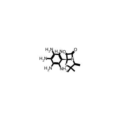 C=C1N2C(=O)C(=O)[C@@]2(c2c(N)c(N)c(N)c(N)c2N)SC1(C)C